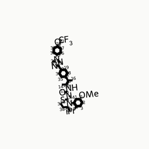 COc1ccc(C(C)C)c(N2/C(=N/C(=O)N/C(C)=C(\C)c3ccc(-c4ncn(-c5ccc(OC(F)(F)F)cc5)n4)cc3)SCCC2C)c1